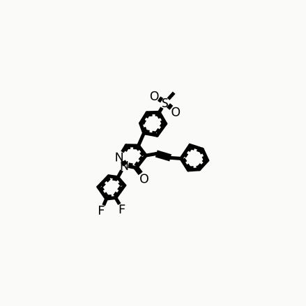 CS(=O)(=O)c1ccc(-c2cnn(-c3ccc(F)c(F)c3)c(=O)c2C#Cc2ccccc2)cc1